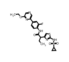 CCOc1cncc(-c2ccc(NC(=O)C(CC)c3csc(NS(=O)(=O)C4CC4)n3)c(F)c2)n1